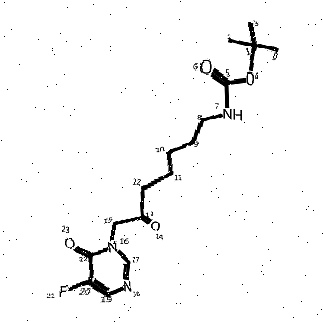 CC(C)(C)OC(=O)NCCCCCC(=O)Cn1cncc(F)c1=O